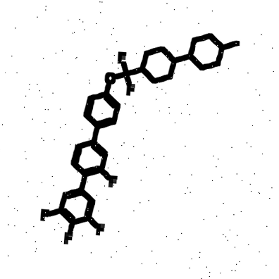 CC1CCC(C2CCC(C(F)(F)Oc3ccc(-c4ccc(-c5cc(F)c(F)c(F)c5)c(F)c4)cc3)CC2)CC1